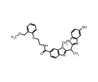 COCc1ccccc1OCCNC(=O)c1ccc2nc(C(C)c3nc4cc(O)ccc4[nH]3)n(C)c2c1